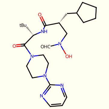 CC(C)(C)[C@H](NC(=O)[C@H](CC1CCCC1)CN(O)C=O)C(=O)N1CCN(c2ncccn2)CC1